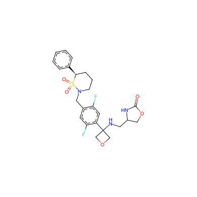 O=C1NC(CNC2(c3cc(F)c(CN4CCC[C@H](c5ccccc5)S4(=O)=O)cc3F)COC2)CO1